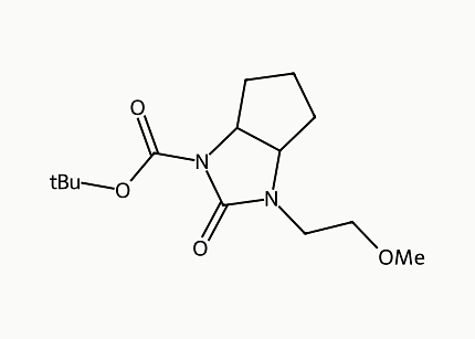 COCCN1C(=O)N(C(=O)OC(C)(C)C)C2CCCC21